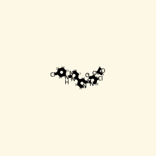 O=c1c(OC2COC2)c(Cl)cnn1-c1cc(-c2ccnc(Nc3cccc(Cl)c3)n2)ccn1